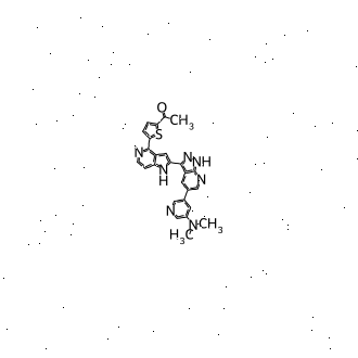 CC(=O)c1ccc(-c2nccc3[nH]c(-c4n[nH]c5ncc(-c6cncc(N(C)C)c6)cc45)cc23)s1